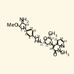 CO[C@@H]1CN(c2ccc(C3CN(C[C@H]4CN(c5cc(=O)n(C)c6ncccc56)C[C@@H](C)O4)C3)cc2)C[C@H]1N